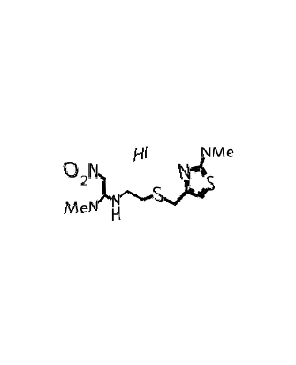 CNC(=C[N+](=O)[O-])NCCSCc1csc(NC)n1.I